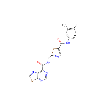 Cc1ccc(NC(=O)c2cnc(CNC(=O)c3ncnc4scnc34)s2)cc1C(F)(F)F